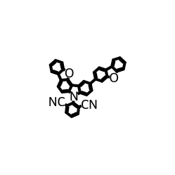 N#Cc1cccc(C#N)c1-n1c2ccc(-c3ccc4c(c3)oc3ccccc34)cc2c2c3oc4ccccc4c3ccc21